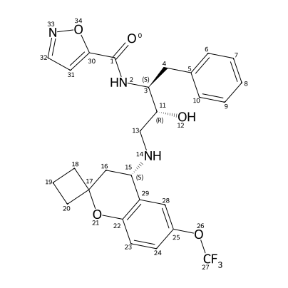 O=C(N[C@@H](Cc1ccccc1)[C@H](O)CN[C@H]1CC2(CCC2)Oc2ccc(OC(F)(F)F)cc21)c1ccno1